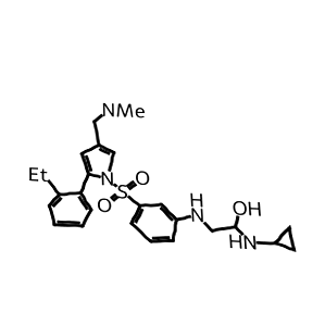 CCc1ccccc1-c1cc(CNC)cn1S(=O)(=O)c1cccc(NCC(O)NC2CC2)c1